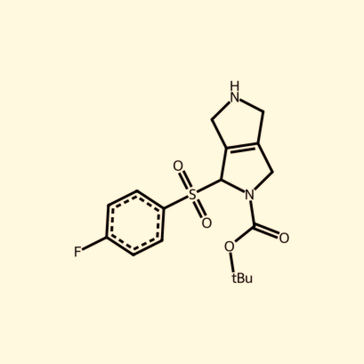 CC(C)(C)OC(=O)N1CC2=C(CNC2)C1S(=O)(=O)c1ccc(F)cc1